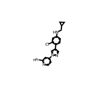 CCCc1cc(-n2cc(-c3ccc(NCC4CC4)cc3Cl)cn2)ccn1